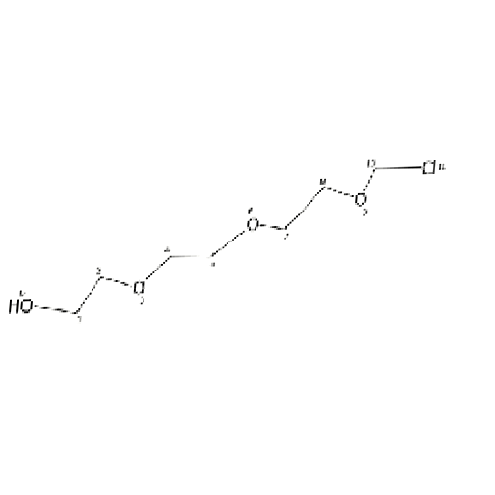 OCCOCCOCCOCCl